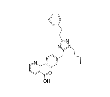 CCCCn1nc(CCc2ccccc2)nc1Cc1ccc(-c2ncccc2C(=O)O)cc1